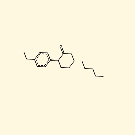 CCCCC[C@@H]1CC[C@@H](c2ccc(CC)cc2)C(=O)C1